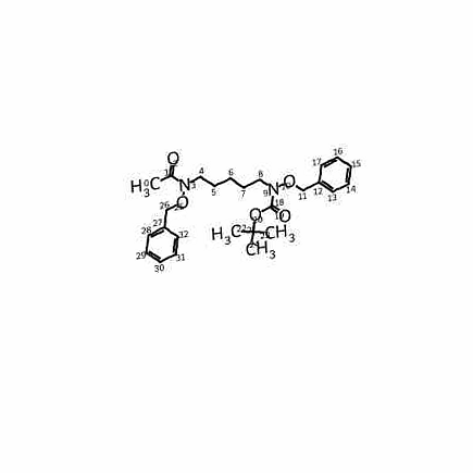 CC(=O)N(CCCCCN(OCc1ccccc1)C(=O)OC(C)(C)C)OCc1ccccc1